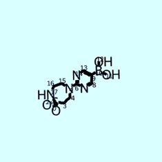 O=S1(=O)CCN(c2ncc(B(O)O)cn2)CCN1